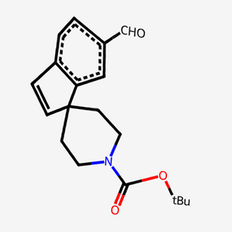 CC(C)(C)OC(=O)N1CCC2(C=Cc3ccc(C=O)cc32)CC1